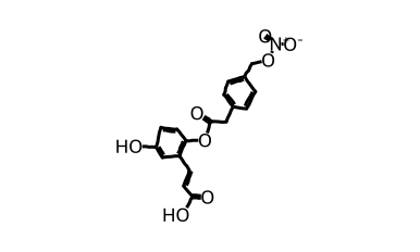 O=C(O)C=Cc1cc(O)ccc1OC(=O)Cc1ccc(CO[N+](=O)[O-])cc1